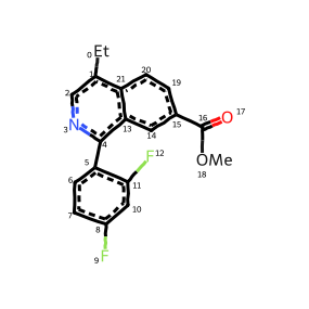 CCc1cnc(-c2ccc(F)cc2F)c2cc(C(=O)OC)ccc12